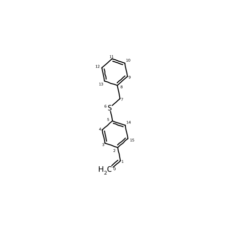 C=Cc1ccc(SCc2ccccc2)cc1